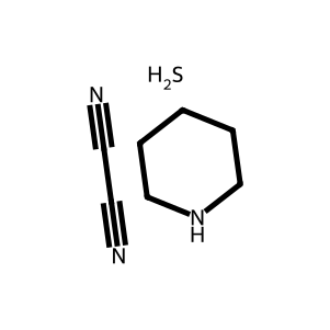 C1CCNCC1.N#CC#N.S